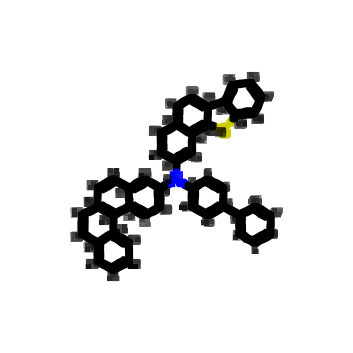 c1ccc(-c2ccc(N(c3ccc4c(ccc5ccc6ccccc6c54)c3)c3ccc4ccc5c6ccccc6sc5c4c3)cc2)cc1